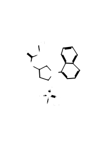 CCCCCCCCS(=O)(=O)[O-].CCCOC(=O)OC1CC[S+](c2cccc3ccccc23)C1